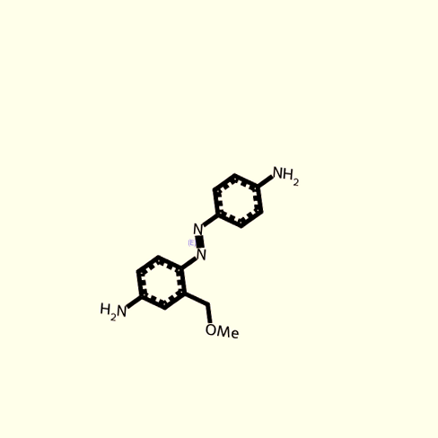 COCc1cc(N)ccc1/N=N/c1ccc(N)cc1